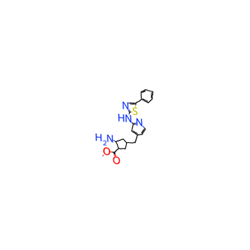 COC(=O)C1CC(Cc2ccnc(Nc3ncc(-c4ccccc4)s3)c2)CC1N